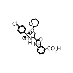 O=C(O)c1cccc(NC(=O)C(COC2CCCCO2)NS(=O)(=O)c2ccc(Cl)cc2)c1